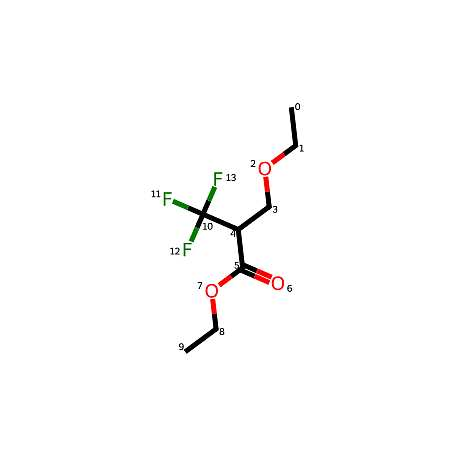 CCOCC(C(=O)OCC)C(F)(F)F